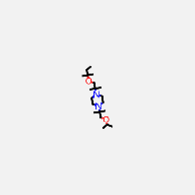 CCC(C)(C)OCC(C)(C)N1CCN(C(C)(C)COC(C)C)CC1